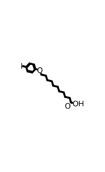 O=C(O)CCCCCCCCCCOc1ccc(I)cc1